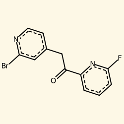 O=C(Cc1ccnc(Br)c1)c1cccc(F)n1